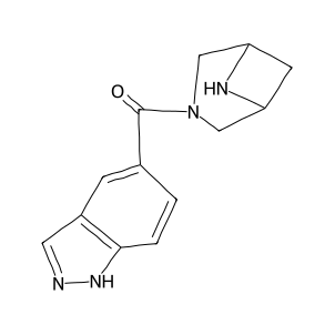 O=C(c1ccc2[nH]ncc2c1)N1CC2CC(C1)N2